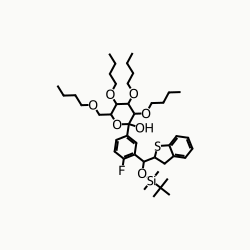 CCCCOCC1OC(O)(c2ccc(F)c(C(O[Si](C)(C)C(C)(C)C)C3Cc4ccccc4S3)c2)C(OCCCC)C(OCCCC)C1OCCCC